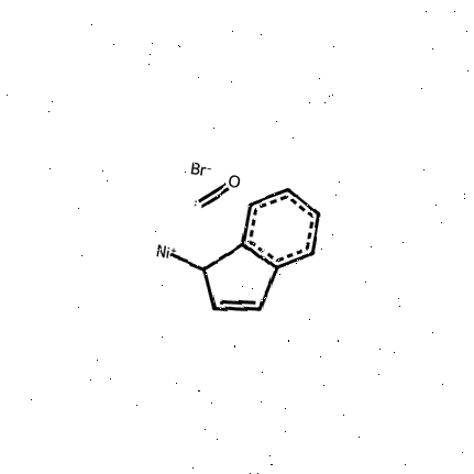 [Br-].[C]=O.[Ni+][CH]1C=Cc2ccccc21